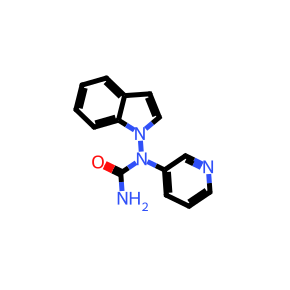 NC(=O)N(c1cccnc1)n1ccc2ccccc21